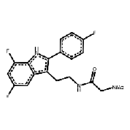 CNCC(=O)NCCc1c(-c2ccc(F)cc2)[nH]c2c(F)cc(F)cc12